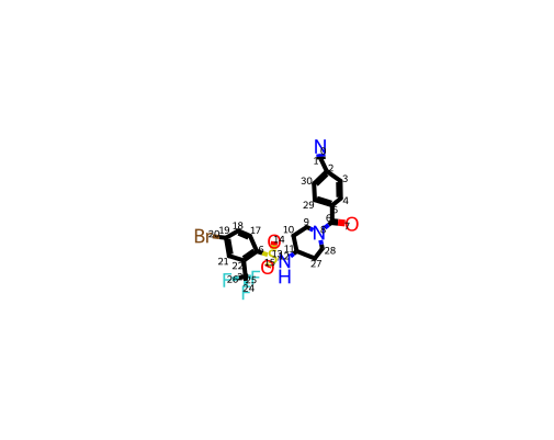 N#Cc1ccc(C(=O)N2CCC(NS(=O)(=O)c3ccc(Br)cc3C(F)(F)F)CC2)cc1